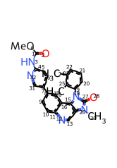 COC(=O)Nc1ccc(-c2ccc3ncc4c(c3c2)n(-c2cccc(C)c2C)c(=O)n4C)cn1